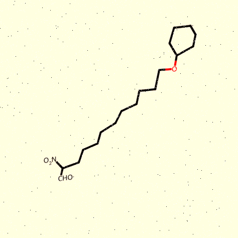 O=[C]C(CCCCCCCCCCOC1CC[CH]CC1)[N+](=O)[O-]